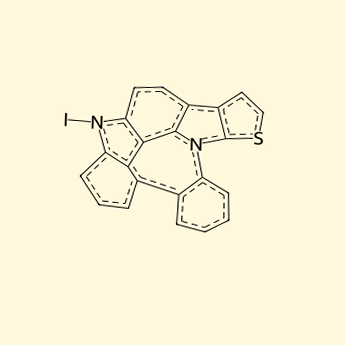 In1c2cccc3c4ccccc4n4c5sccc5c5ccc1c(c32)c54